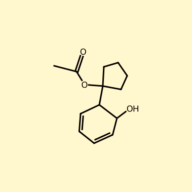 CC(=O)OC1(C2C=CC=CC2O)CCCC1